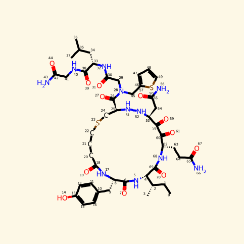 CC[C@H](C)[C@@H]1NC(=O)[C@H](Cc2ccc(O)cc2)NC(=O)CCCSC[C@@H](C(=O)N(CC(=O)N[C@@H](CC(C)C)C(=O)NCC(N)=O)Cc2cccs2)NN[C@@H](CC(N)=O)C(=O)C(=O)[C@H](CCC(N)=O)NC1=O